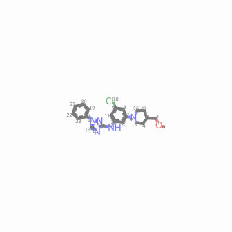 COCC1CCN(c2cc(Cl)cc(Nc3ncn(-c4ccccc4)n3)c2)CC1